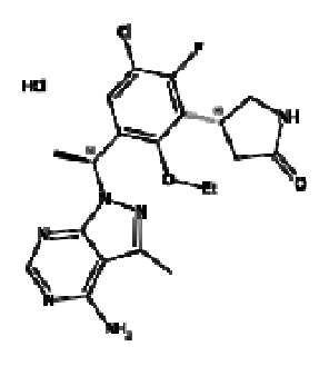 CCOc1c([C@H](C)n2nc(C)c3c(N)ncnc32)cc(Cl)c(F)c1[C@@H]1CNC(=O)C1.Cl